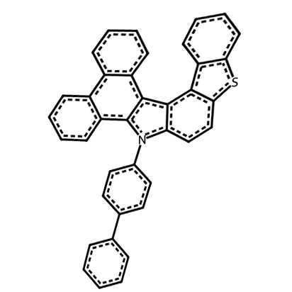 c1ccc(-c2ccc(-n3c4ccc5sc6ccccc6c5c4c4c5ccccc5c5ccccc5c43)cc2)cc1